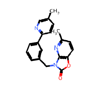 Cc1ccc(-c2cccc(Cn3c(=O)oc4ccc(C)nc43)c2)nc1